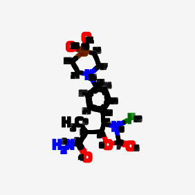 CC(C(N)=O)C1OC(=O)N(F)C1c1ccc(N2CCS(=O)(=O)CC2)cc1